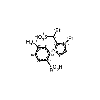 CCC(c1nccn1CC)S(=O)(=O)O.Cc1ccc(S(=O)(=O)O)cc1